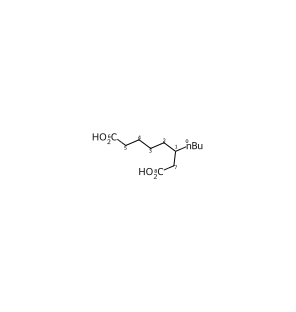 CCCCC(CCCCC(=O)O)CC(=O)O